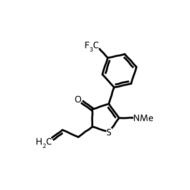 C=CCC1SC(NC)=C(c2cccc(C(F)(F)F)c2)C1=O